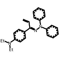 C=CC(=NN(c1ccccc1)c1ccccc1)c1ccc(N(CC)CC)cc1